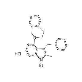 CCn1c(C)c(Cc2ccccc2)c2c(N3CCc4ccccc4C3)nccc21.Cl